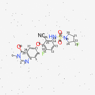 Cn1cnc2ccc(Oc3c(F)ccc(NS(=O)(=O)N4CCC(F)C4)c3C#N)cc2c1=O